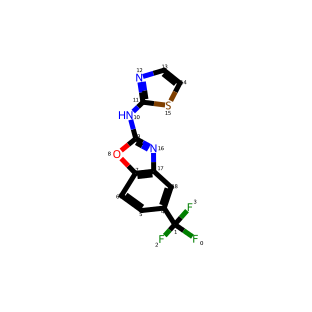 FC(F)(F)c1ccc2oc(Nc3nccs3)nc2c1